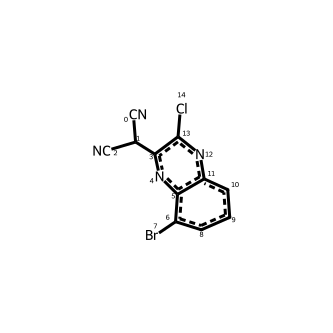 N#CC(C#N)c1nc2c(Br)cccc2nc1Cl